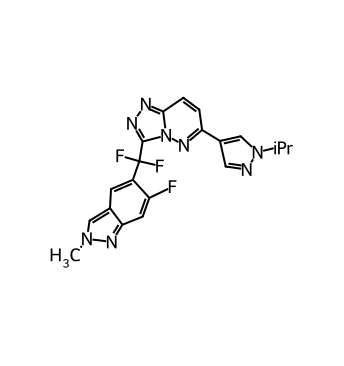 CC(C)n1cc(-c2ccc3nnc(C(F)(F)c4cc5cn(C)nc5cc4F)n3n2)cn1